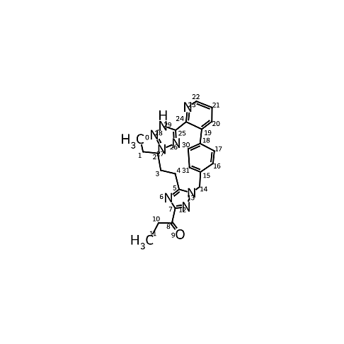 CCCCCc1nc(C(=O)CC)nn1Cc1ccc(-c2cccnc2-c2nnn[nH]2)cc1